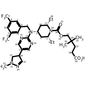 CC[C@@H]1C[C@H](N(Cc2cc(C(F)(F)F)cc(C(F)(F)F)c2)c2ncc(C3C=NN(C)C3)cn2)C[C@H](CC)N1C(=O)OCC(C)(C)CCC(=O)O